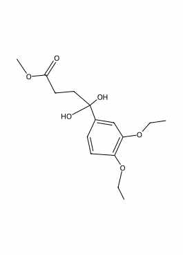 CCOc1ccc(C(O)(O)CCC(=O)OC)cc1OCC